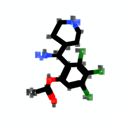 N[C@H](c1c(OC(=O)C(F)(F)F)cc(Cl)c(Cl)c1Cl)C1CCNCC1